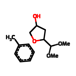 COC(OC)C1CC(O)CO1.Cc1ccccc1